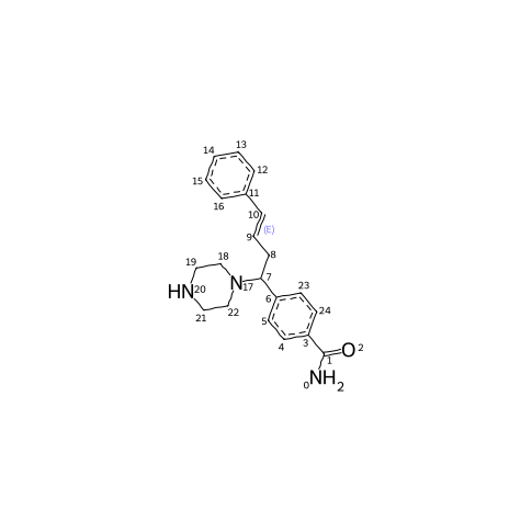 NC(=O)c1ccc(C(C/C=C/c2ccccc2)N2CCNCC2)cc1